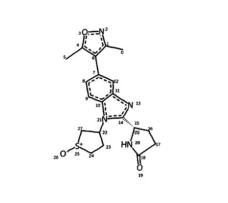 Cc1noc(C)c1-c1ccc2c(c1)nc([C@@H]1CCC(=O)N1)n2C1CC[S+]([O-])C1